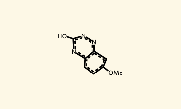 COc1ccc2nc(O)nnc2c1